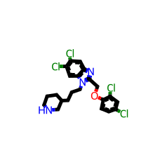 Clc1ccc(OCc2nc3cc(Cl)c(Cl)cc3n2CCCC2CCCNC2)c(Cl)c1